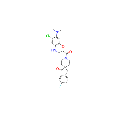 CN(C)c1cc2c(cc1Cl)NCC(C(=O)N1CCC(C=O)(Cc3ccc(F)cc3)CC1)O2